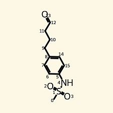 CS(=O)(=O)Nc1ccc(CCCC=O)cc1